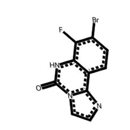 O=c1[nH]c2c(F)c(Br)ccc2c2nccn12